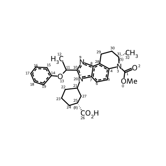 COC(=O)N1c2ccc3c(nc(C(C)Oc4ccccc4)n3C3CCC[C@@H](C(=O)O)C3)c2CC[C@@H]1C